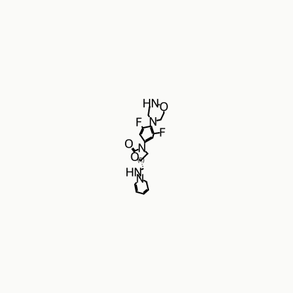 O=C1O[C@@H](CNN2C=CC=CC2)CN1c1cc(F)c(N2CCNOCC2)c(F)c1